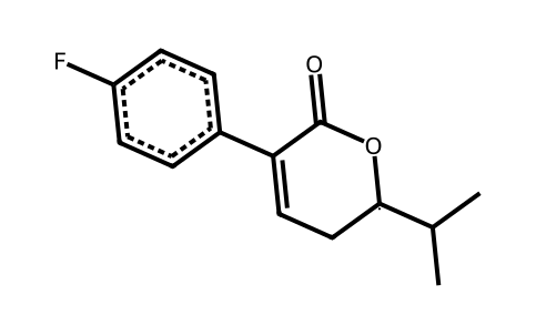 CC(C)[C]1CC=C(c2ccc(F)cc2)C(=O)O1